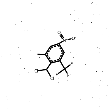 Cc1cc([N+](=O)[O-])cc(C(F)(F)F)c1C(Cl)Cl